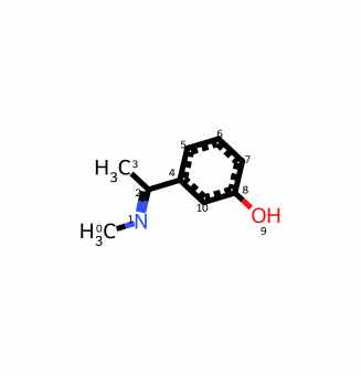 CN=C(C)c1cccc(O)c1